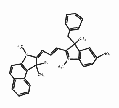 CCC1(C)/C(=C\C=C\C2=[N+](C)c3ccc([N+](=O)[O-])cc3C2(C)Cc2ccccc2)N(C)c2ccc3ccccc3c21